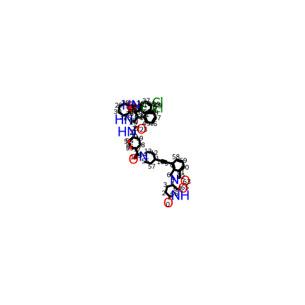 O=C1CCC(N2Cc3c(C#CC4CCN(C(=O)C56CCC(NC(=O)[C@@H]7NC8(CCCCC8)[C@@]8(C(=O)Nc9cc(Cl)ccc98)[C@H]7c7cccc(Cl)c7F)(CC5)CC6)CC4)cccc3C2=O)C(=O)N1